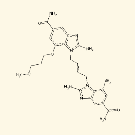 Bc1cc(C(N)=O)cc2nc(N)n(C/C=C/Cn3c(N)nc4cc(C(N)=O)cc(OCCCOC)c43)c12